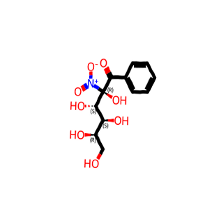 O=C(c1ccccc1)[C@](O)([C@@H](O)[C@@H](O)[C@H](O)CO)[N+](=O)[O-]